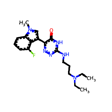 CCN(CC)CCCNc1nnc(-c2cn(C)c3cccc(F)c23)c(=O)[nH]1